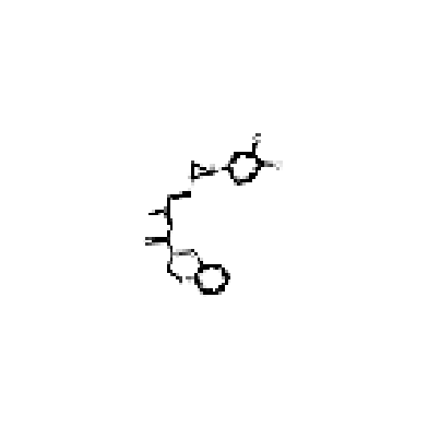 CC(C=C[C@@H]1C[C@H]1c1ccc(Cl)c(Cl)c1)=CC(=O)N(CC(C)C)Sc1ccccc1